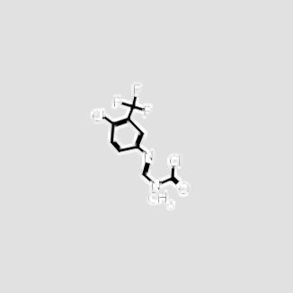 CN(C=Nc1ccc(Cl)c(C(F)(F)F)c1)C(=O)Cl